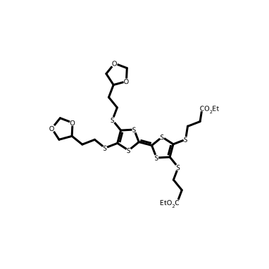 CCOC(=O)CCSC1=C(SCCC(=O)OCC)SC(=C2SC(SCCC3COCO3)=C(SCCC3COCO3)S2)S1